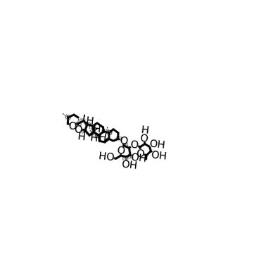 CC1OC(OC2[C@H](O[C@H]3CC[C@@]4(C)C(=CC[C@H]5[C@@H]6C[C@@H]7O[C@]8(CC[C@@H](C)CO8)[C@@H](C)[C@@H]7[C@@]6(C)CC[C@@H]54)C3)OC(CO)[C@@H](O)[C@@H]2O)C(O)C(O)C1O